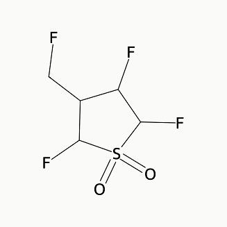 O=S1(=O)C(F)C(F)C(CF)C1F